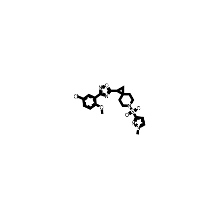 COc1ccc(Cl)cc1-c1noc(C2CC23CCN(S(=O)(=O)c2ccn(C)n2)CC3)n1